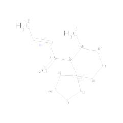 C/C=C/C(=O)C1C(C)CCCC12CCCC2